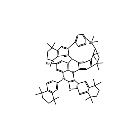 CC(C)(C)c1cc2c3c(c1)N(c1ccc4c(c1)C(C)(C)CCC4(C)C)c1oc4cc5c(cc4c1B3c1cc3c4cc1N2c1cc2c(cc1-c1ccc(cc1)[Si](C)(C)C(CC3(C)C)C4(C)C)C(C)(C)CCC2(C)C)C(C)(C)CCC5(C)C